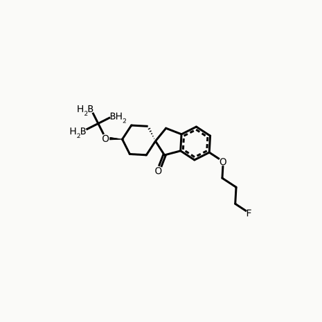 BC(B)(B)O[C@H]1CC[C@]2(CC1)Cc1ccc(OCCCF)cc1C2=O